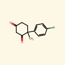 CC1(c2ccc(Br)cc2)CCC(=O)CC1=O